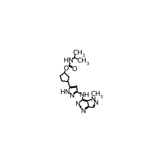 CC(C)NC(=O)OC1CCC(c2cc(Nc3ncnc4cnn(C)c34)n[nH]2)C1